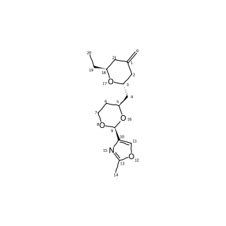 C=C1C[C@H](C[C@@H]2CCO[C@H](c3coc(C)n3)O2)O[C@@H](CC)C1